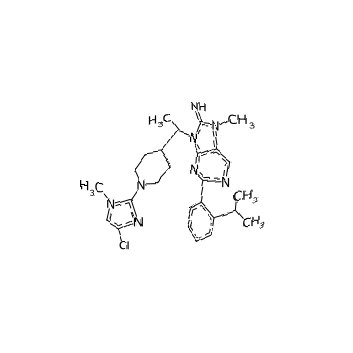 CC(C)c1ccccc1-c1ncc2c(n1)n(C(C)C1CCN(c3nc(Cl)cn3C)CC1)c(=N)n2C